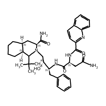 CC(C)(C)C1[C@H]2CCCC[C@H]2C[C@@H](C(N)=O)N1C[C@@H](O)[C@H](Cc1ccccc1)NC(=O)[C@H](CC(N)=O)NC(=O)c1ccc2ccccc2n1